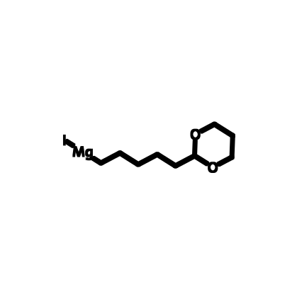 [I][Mg][CH2]CCCCC1OCCCO1